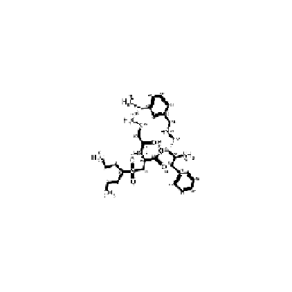 CCCC(CCC)S(=O)(=O)CC(NC(=O)CSC)C(=O)O[C@H](CNCc1cccc(OC)c1)[C@@H](N)Cc1ccccc1